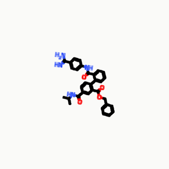 CC(C)NC(=O)c1ccc(-c2ccccc2C(=O)Nc2ccc(C(=N)N)cc2)c(C(=O)OCc2ccccc2)c1